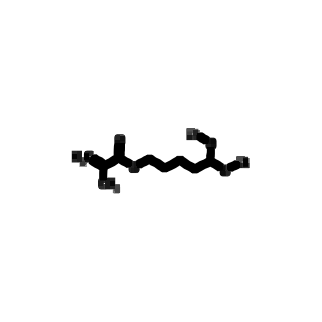 C=C(C)C(=O)OCCCC[C](OCC)OCC